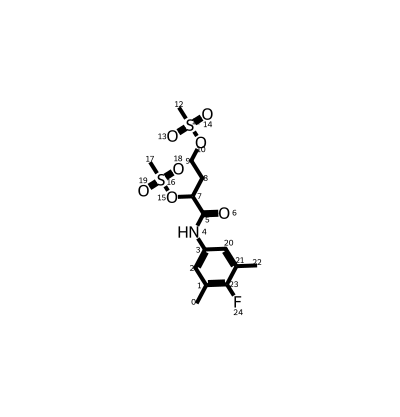 Cc1cc(NC(=O)C(CCOS(C)(=O)=O)OS(C)(=O)=O)cc(C)c1F